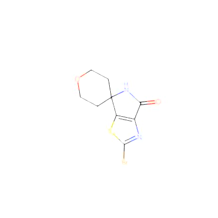 O=C1NC2(CCOCC2)c2sc(Br)nc21